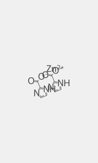 O=C([O-])c1ncc[nH]1.O=C([O-])c1ncc[nH]1.[Zn+2]